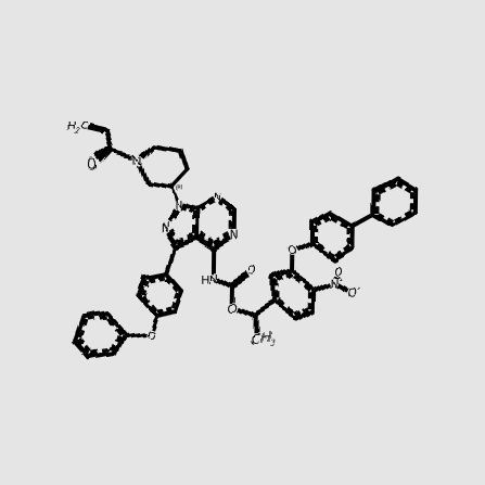 C=CC(=O)N1CCC[C@@H](n2nc(-c3ccc(Oc4ccccc4)cc3)c3c(NC(=O)OC(C)c4ccc([N+](=O)[O-])c(Oc5ccc(-c6ccccc6)cc5)c4)ncnc32)C1